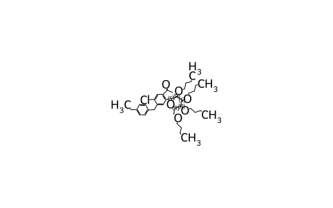 CCCCOC[C@H]1O[C@]2(CC(=O)c3cc(Cl)c(Cc4ccc(CC)cc4)cc32)[C@H](OCCCC)[C@@H](OCCCC)[C@@H]1OCCCC